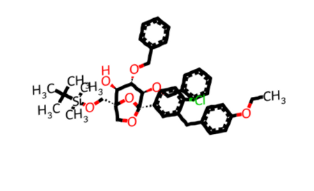 CCOc1ccc(Cc2cc([C@]34OC[C@](CO[Si](C)(C)C(C)(C)C)(O3)[C@@H](O)[C@H](OCc3ccccc3)[C@H]4OCc3ccccc3)ccc2Cl)cc1